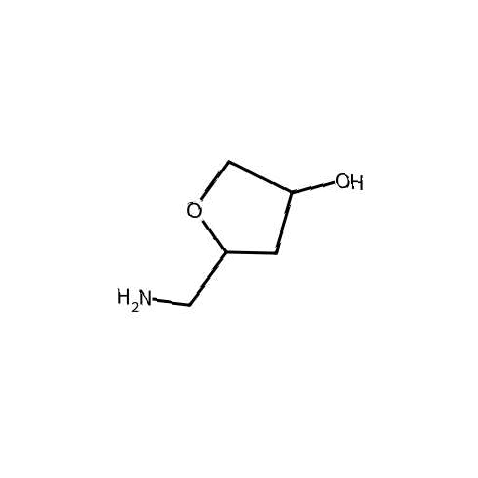 NCC1CC(O)CO1